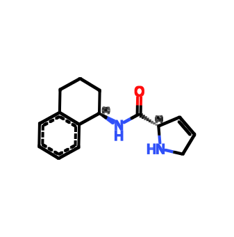 O=C(N[C@@H]1CCCc2ccccc21)[C@@H]1C=CCN1